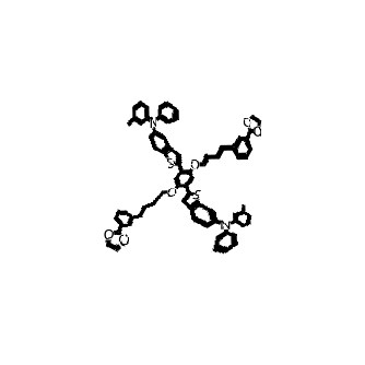 Cc1cccc(N(c2ccccc2)c2ccc3sc(-c4cc(OCCCCc5cccc(C6OCCO6)c5)c(-c5cc6ccc(N(c7ccccc7)c7cccc(C)c7)cc6s5)cc4OCCCCc4cccc(C5OCCO5)c4)cc3c2)c1